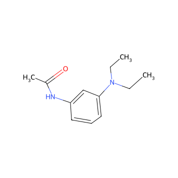 CCN(CC)c1cccc(NC(C)=O)c1